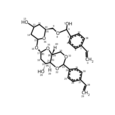 C=Cc1ccc(C(O)OC[C@@H]2CC(O)CC(O[C@@H]3C[C@@H](O)[C@@H]4OC(c5ccc(C=C)cc5)OC[C@H]4O3)O2)cc1